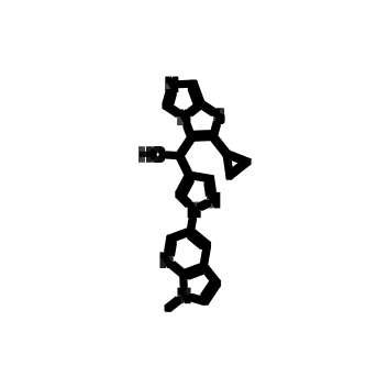 Cn1ccc2cc(-n3cc(C(O)c4c(C5CC5)sc5cncn45)cn3)cnc21